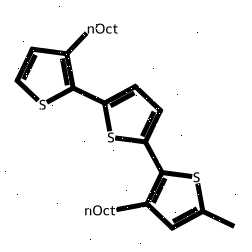 CCCCCCCCc1ccsc1-c1ccc(-c2sc(C)cc2CCCCCCCC)s1